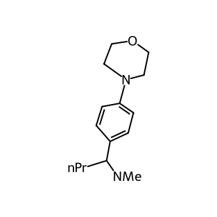 CCCC(NC)c1ccc(N2CCOCC2)cc1